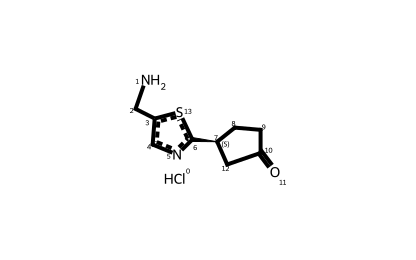 Cl.NCc1cnc([C@H]2CCC(=O)C2)s1